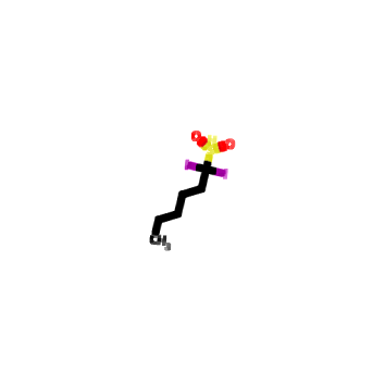 CCCCCC(I)(I)[SH](=O)=O